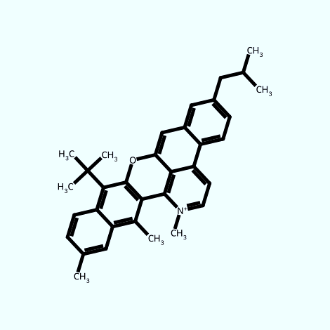 Cc1ccc2c(C(C)(C)C)c3c(c(C)c2c1)-c1c2c(cc4cc(CC(C)C)ccc4c2cc[n+]1C)O3